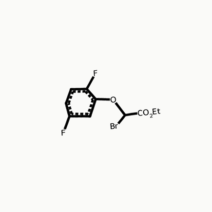 CCOC(=O)C(Br)Oc1cc(F)ccc1F